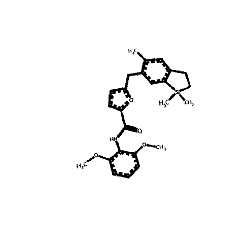 COc1cccc(OC)c1NC(=O)c1ccc(Cc2cc3c(cc2C)CC[Si]3(C)C)o1